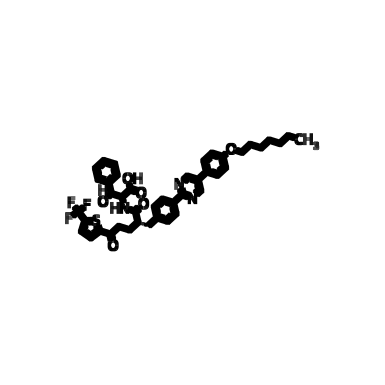 CCCCCCCOc1ccc(-c2cnc(-c3ccc(C[C@H](CCC(=O)c4ccc(C(F)(F)F)s4)C(=O)NC(C(=O)O)C(O)c4ccccc4)cc3)nc2)cc1